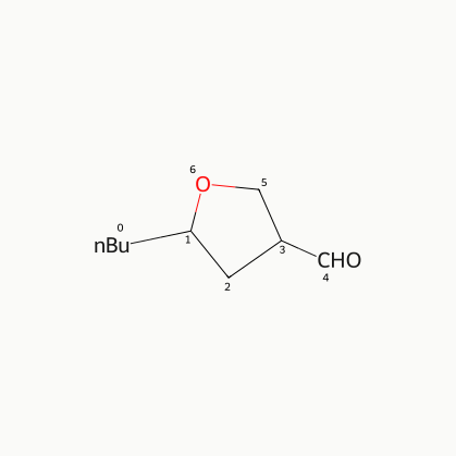 CCCCC1CC(C=O)CO1